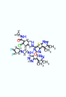 Cc1nnc2oc3c(NC4CN(c5ccc(F)c(F)c5)C4)ncnc3c2c1C.Cc1nnc2sc3c(NCc4ccc(C(=O)NC5CC5)c(Cl)c4)ncnc3c2c1C